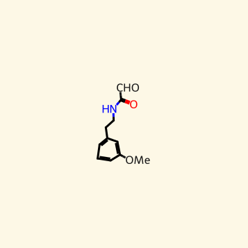 COc1cccc(CCNC(=O)C=O)c1